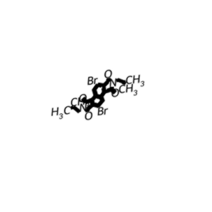 CC(C)Cn1c(=O)c2c(Br)cc3c(cc(Br)c4c(=O)n(CC(C)C)c(=O)c43)c2c1=O